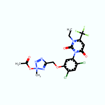 CCn1c(C(F)(F)F)cc(=O)n(-c2cc(OCC3=N[N+](C)(OC(C)=O)N=N3)c(Cl)cc2Cl)c1=O